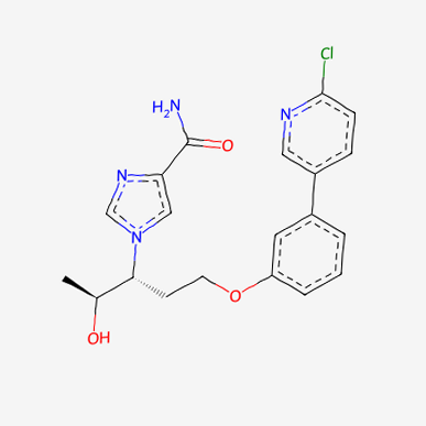 C[C@H](O)[C@@H](CCOc1cccc(-c2ccc(Cl)nc2)c1)n1cnc(C(N)=O)c1